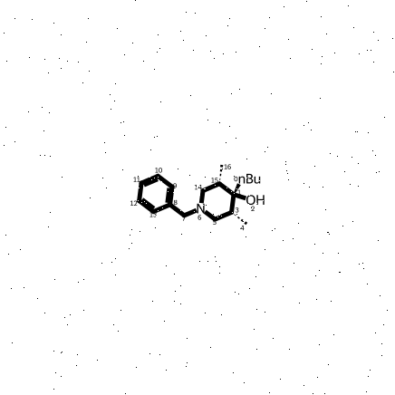 CCCC[C@@]1(O)[C@H](C)CN(Cc2ccccc2)C[C@@H]1C